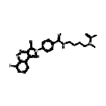 C=C(C)N(C)CCCCNC(=O)c1ccc(-n2[nH]c3c(nnc4c(F)cccc43)c2=O)cc1